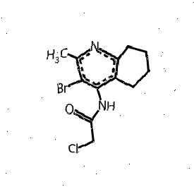 Cc1nc2c(c(NC(=O)CCl)c1Br)CCCC2